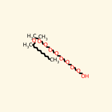 CCCCCCCCCCC(C)COC(C)C(C)OCCOCCOCCOCCOCCOCCOCCOCCO